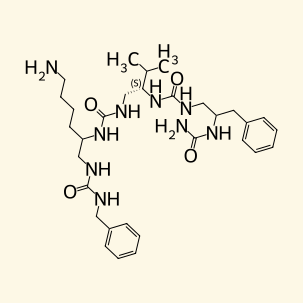 CC(C)[C@@H](CNC(=O)NC(CCCCN)CNC(=O)NCc1ccccc1)NC(=O)NCC(Cc1ccccc1)NC(N)=O